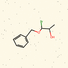 CC(O)C(Br)OCc1ccccc1